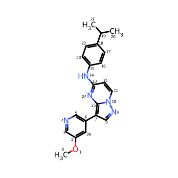 COc1cncc(-c2cnn3ccc(Nc4ccc(C(C)C)cc4)nc23)c1